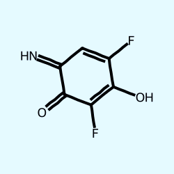 N=C1C=C(F)C(O)=C(F)C1=O